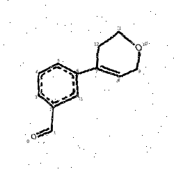 O=Cc1cccc(C2=CCOCC2)c1